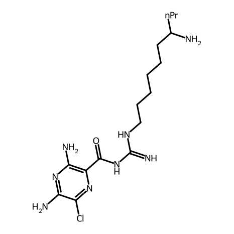 CCCC(N)CCCCCCNC(=N)NC(=O)c1nc(Cl)c(N)nc1N